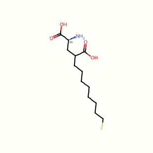 N[C@@H](CC(CCCCCCCCF)C(=O)O)C(=O)O